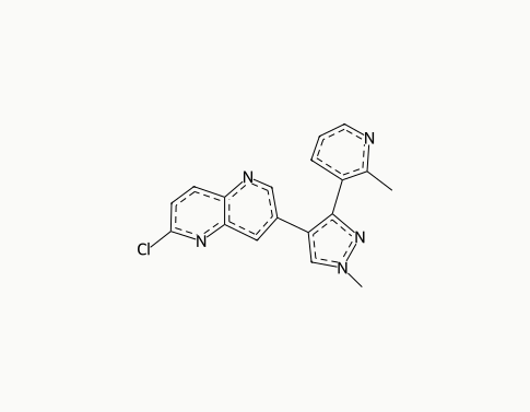 Cc1ncccc1-c1nn(C)cc1-c1cnc2ccc(Cl)nc2c1